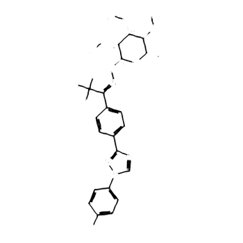 CO[C@@H]1[C@@H](OC)[C@H](C)O[C@@H](O/N=C(/c2ccc(-c3ncn(-c4ccc(O)cc4)n3)cc2)C(F)(F)F)[C@@H]1OC